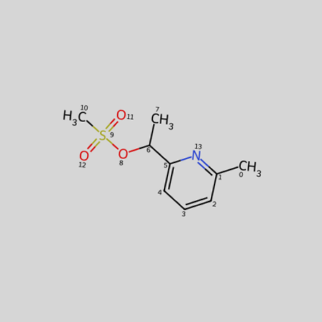 Cc1cccc(C(C)OS(C)(=O)=O)n1